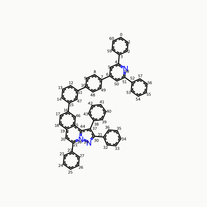 c1ccc(-c2cc(-c3ccc(-c4cccc(-c5ccc6cc(-c7ccccc7)n7nc(-c8ccccc8)c(-c8ccccc8)c7c6c5)c4)cc3)cc(-c3ccccc3)n2)cc1